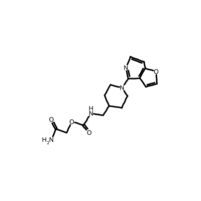 NC(=O)COC(=O)NCC1CCN(c2nccc3occc23)CC1